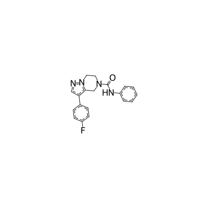 O=C(Nc1ccccc1)N1CCn2ncc(-c3ccc(F)cc3)c2C1